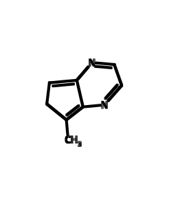 CC1=c2nccnc2=CC1